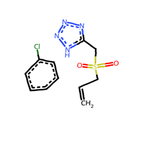 C=CCS(=O)(=O)Cc1nnn[nH]1.Clc1ccccc1